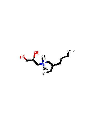 CCCCC(CC)C[N+](C)(C)CC(O)CO